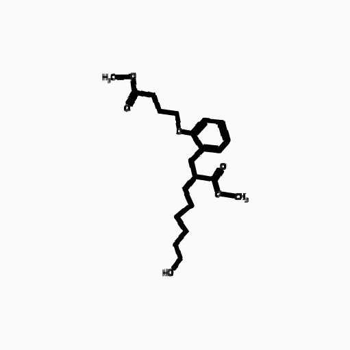 COC(=O)CCCOc1ccccc1CC(CCCCCCO)C(=O)OC